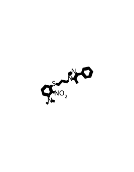 Cc1c(-c2ccccc2)ncn1CCCSc1cccc(N(C)C)c1[N+](=O)[O-]